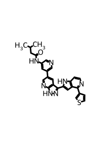 CC(C)CC(=O)Nc1cncc(-c2cnc3[nH]nc(-c4cc5c(-c6ccsc6)nccc5[nH]4)c3c2)c1